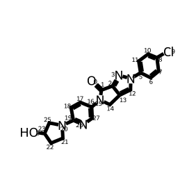 O=C1c2nn(-c3ccc(Cl)cc3)cc2CN1c1ccc(N2CCC(O)C2)nc1